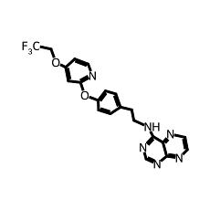 FC(F)(F)COc1ccnc(Oc2ccc(CCNc3ncnc4nccnc34)cc2)c1